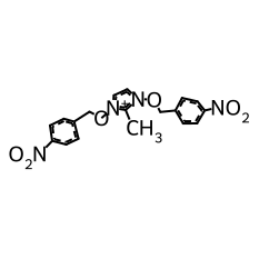 Cc1n(OCc2ccc([N+](=O)[O-])cc2)cc[n+]1OCc1ccc([N+](=O)[O-])cc1